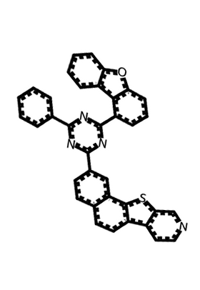 c1ccc(-c2nc(-c3ccc4ccc5c6ccncc6sc5c4c3)nc(-c3cccc4oc5ccccc5c34)n2)cc1